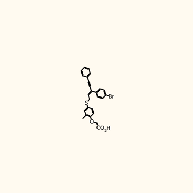 Cc1cc(SCC=C(C#Cc2ccccc2)c2ccc(Br)cc2)ccc1OCC(=O)O